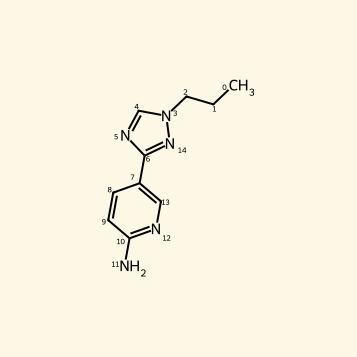 CCCn1cnc(-c2ccc(N)nc2)n1